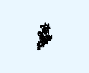 Cc1cccnc1CNC(=O)c1nn(-c2ccc(F)cc2F)c2c1C[C@H]1C[C@@H]21